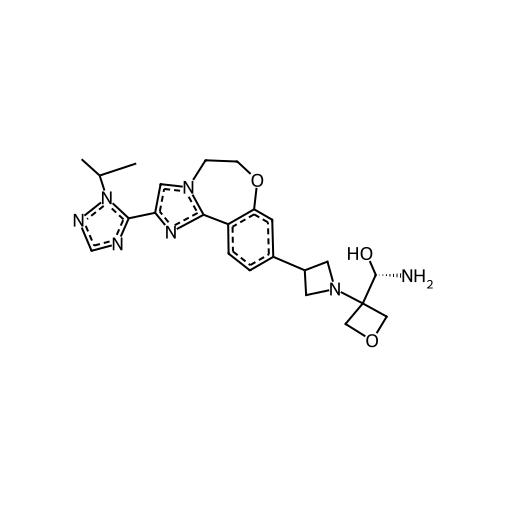 CC(C)n1ncnc1-c1cn2c(n1)-c1ccc(C3CN(C4([C@@H](N)O)COC4)C3)cc1OCC2